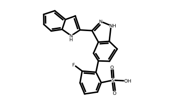 O=S(=O)(O)c1cccc(F)c1-c1ccc2[nH]nc(-c3cc4ccccc4[nH]3)c2c1